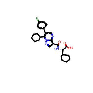 O=C(N[C@H](C(=O)O)C1CCCCC1)c1cnn2c(C3CCCCC3)c(-c3ccc(F)cc3)cnc12